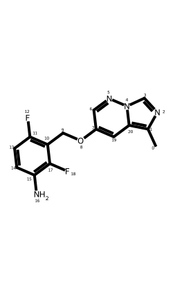 Cc1ncn2ncc(OCc3c(F)ccc(N)c3F)cc12